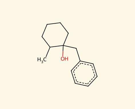 CC1CCCCC1(O)Cc1ccccc1